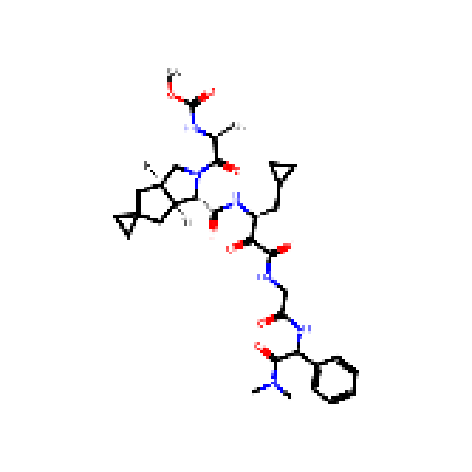 CN(C)C(=O)[C@@H](NC(=O)CNC(=O)C(=O)[C@H](CC1CC1)NC(=O)[C@@H]1[C@H]2CC3(CC3)C[C@H]2CN1C(=O)[C@@H](NC(=O)OC(C)(C)C)C(C)(C)C)c1ccccc1